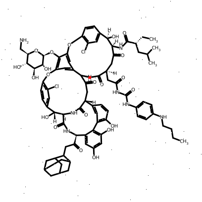 CCCCNc1ccc(NC(=O)NC(=O)C[C@@H]2CC(=O)[C@H](NC(=O)[C@H](CC)CC(C)C)[C@H](O)c3ccc(c(Cl)c3)Oc3cc4cc(c3O[C@@H]3O[C@H](CN)[C@@H](O)[C@H](O)[C@H]3O)Oc3ccc(cc3Cl)[C@@H](O)[C@@H]3NC(=O)[C@H](CC(=O)[C@@H]4NC2=O)c2ccc(O)c(c2)-c2c(O)cc(O)cc2[C@@H](C(=O)CC2C4CC5CC(C4)CC2C5)NC3=O)cc1